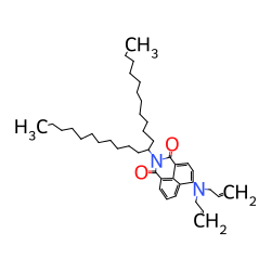 C=CCN(CC=C)c1ccc2c3c(cccc13)C(=O)N(C(CCCCCCCCCCC)CCCCCCCCCCC)C2=O